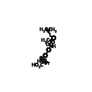 Cc1c(C(=O)Nc2ccc(-c3ccc(S(=O)(=O)NC(C(=O)O)C(C)C)cc3)cc2)oc2cccc(CCCN(C)C)c12